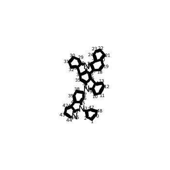 c1ccc(-n2c3cc(-n4c5ccccc5c5c6c7ccc8ccccc8c7n7c8ccccc8c(cc54)c67)ccc3c3cccnc32)cc1